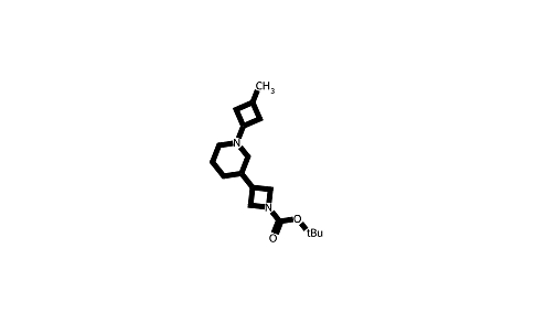 CC1CC(N2CCCC(C3CN(C(=O)OC(C)(C)C)C3)C2)C1